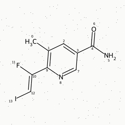 Cc1cc(C(N)=O)cnc1/C(F)=C/I